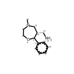 CN1CCOC(c2ccccc2)[C@@H](CN)C1